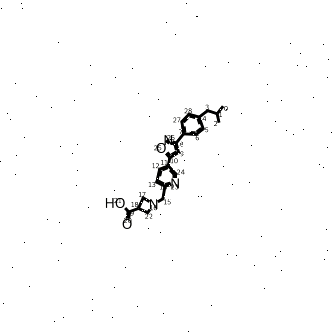 CC(C)Cc1ccc(-c2cc(-c3ccc(CN4CC(C(=O)O)C4)nc3)on2)cc1